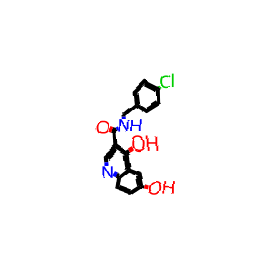 O=C(NCc1ccc(Cl)cc1)c1cnc2ccc(O)cc2c1O